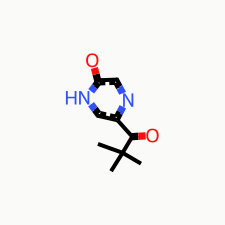 CC(C)(C)C(=O)c1c[nH]c(=O)cn1